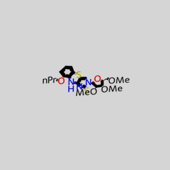 CCCOc1cccc2c1Nc1nc(=S)n([C@@H]3O[C@H](COC)C(OC)[C@@H]3OC)cc1S2